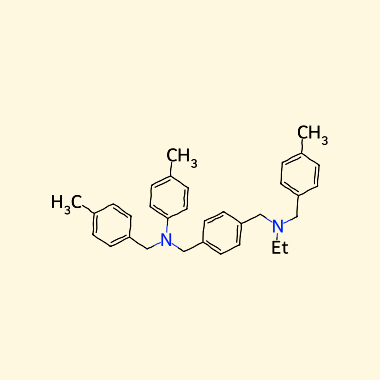 CCN(Cc1ccc(C)cc1)Cc1ccc(CN(Cc2ccc(C)cc2)c2ccc(C)cc2)cc1